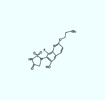 CC(C)(C)CCOc1ccc2cc(O)c(N3CC(=O)NS3(=O)=O)c(F)c2n1